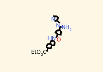 CCOC(=O)CC1CCc2cc(NC(=O)c3ccc(C(N)=NCc4cccnc4)cc3)ccc2C1